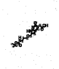 CC(C)(C)OC(=O)NCCCOCc1cc2cn(CC(=O)O)c(=O)nc2[nH]1